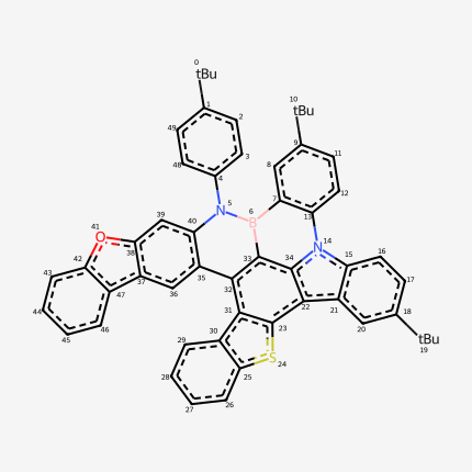 CC(C)(C)c1ccc(N2B3c4cc(C(C)(C)C)ccc4-n4c5ccc(C(C)(C)C)cc5c5c6sc7ccccc7c6c(c3c54)-c3cc4c(cc32)oc2ccccc24)cc1